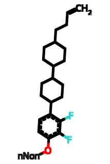 C=CCCC1CCC(C2CCC(c3ccc(OCCCCCCCCC)c(F)c3F)CC2)CC1